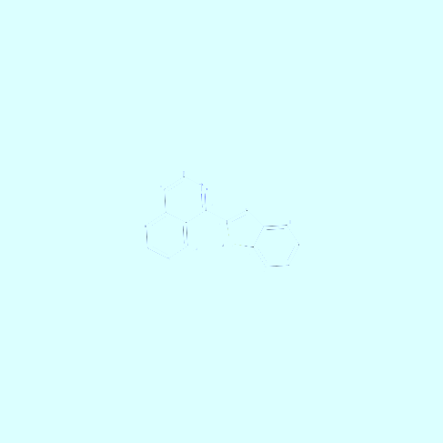 c1ccc2sc(-c3nccc4ccccc34)cc2c1